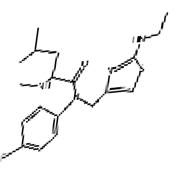 CCNc1nc(CN(C(=O)C(CC(C)C)NC)c2ccc(F)cc2)cs1